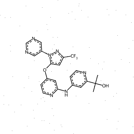 CC(C)(O)c1cc(Nc2cc(Oc3cc(C(F)(F)F)nn3-c3cncnc3)ccn2)ccn1